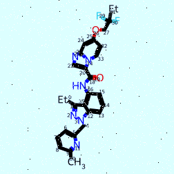 CCc1nn(Cc2cccc(C)n2)c2cccc(NC(=O)c3cnc4cc(OCC(F)(F)CC)ccn34)c12